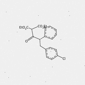 CCOC(=O)C(C(=O)OCC)C(=O)C(Cc1ccc(Cl)cc1)c1ccccn1